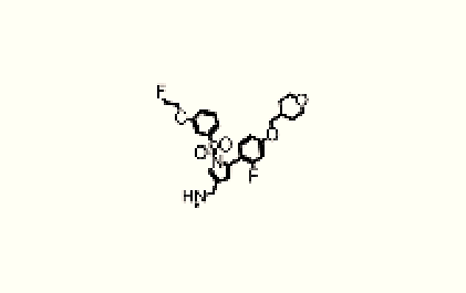 CNCc1cc(-c2ccc(OCC3CCOCC3)cc2F)n(S(=O)(=O)c2cccc(OCCF)c2)c1